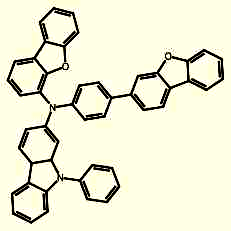 C1=CC2c3ccccc3N(c3ccccc3)C2C=C1N(c1ccc(-c2ccc3c(c2)oc2ccccc23)cc1)c1cccc2c1oc1ccccc12